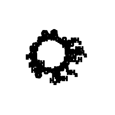 CC(C)C[C@@H]1NC(=O)[C@H](CO)NC(=O)[C@H](C)N(C)C(=O)[C@H](Cc2ccccc2)N(C)C(=O)[C@H](Cc2ccccc2)NC(=O)CSC[C@@H](C(=O)NCC(N)=O)NC(=O)[C@H](CCCNC(=N)N)NC(=O)[C@H](CC(=O)O)NC(=O)[C@H](CCCCN)NC(=O)[C@H](CCCNC(=N)N)NC(=O)[C@H](C)N(C)C(=O)[C@H](Cc2c[nH]c3ccccc23)NC(=O)[C@H](Cc2cnc[nH]2)NC1=O